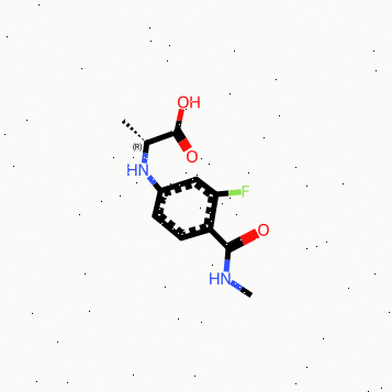 CNC(=O)c1ccc(N[C@H](C)C(=O)O)cc1F